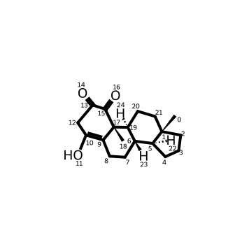 C[C@@]12CCC[C@H]1[C@@H]1CCC3=C(O)CC(=O)C(=O)[C@]3(C)[C@H]1CC2